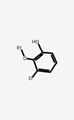 CCOc1c(O)cccc1Cl